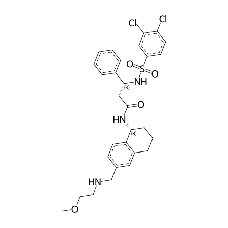 COCCNCc1ccc2c(c1)CCC[C@H]2NC(=O)C[C@@H](NS(=O)(=O)c1ccc(Cl)c(Cl)c1)c1ccccc1